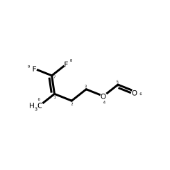 CC(CCO[C]=O)=C(F)F